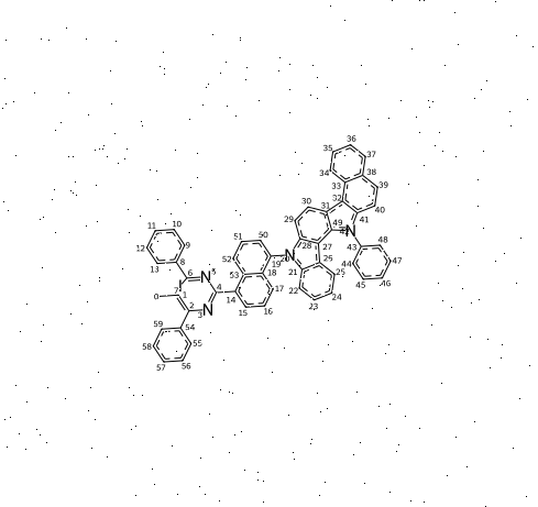 C/C=C(/N=C(\N=C(/I)c1ccccc1)c1cccc2c(-n3c4ccccc4c4c3ccc3c5c6ccccc6ccc5n(-c5ccccc5)c34)cccc12)c1ccccc1